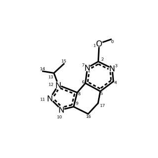 COc1ncc2c(n1)-c1c(nnn1C(C)C)CC2